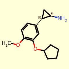 COc1ccc([C@@H]2C[C@H]2N)cc1OC1CCCC1